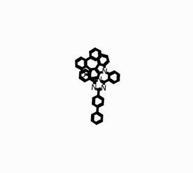 c1ccc(-c2ccc(-c3nc(-c4ccccc4)nc(-c4ccccc4-n4c5ccccc5c5c6c(ccc54)oc4cccc(-c5ccccc5)c46)n3)cc2)cc1